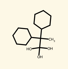 CC(C1CCCCC1)(C1CCCCC1)C(O)(O)O